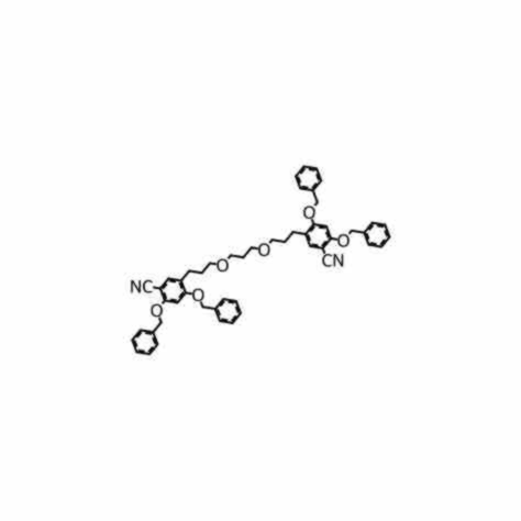 N#Cc1cc(CCCOCCCOCCCc2cc(C#N)c(OCc3ccccc3)cc2OCc2ccccc2)c(OCc2ccccc2)cc1OCc1ccccc1